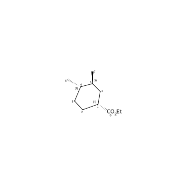 CCOC(=O)[C@@H]1CC[C@H](C)[C@@H](C)C1